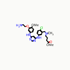 COC(=O)CCCN(C)Cc1cc(Nc2cc(Nc3ccc(OC)c(OCCN)c3)ncn2)ccc1Cl